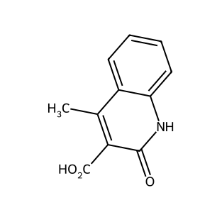 Cc1c(C(=O)O)c(=O)[nH]c2ccccc12